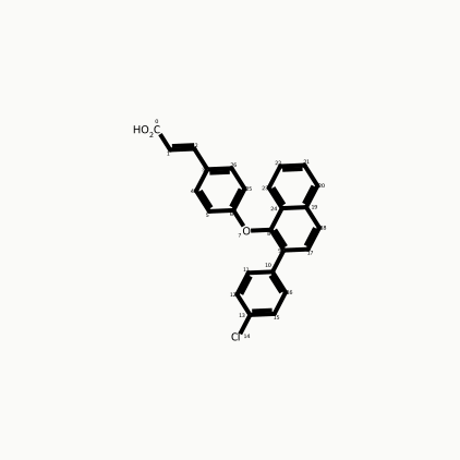 O=C(O)C=Cc1ccc(Oc2c(-c3ccc(Cl)cc3)ccc3ccccc23)cc1